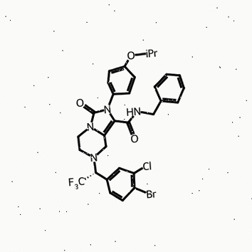 CC(C)Oc1ccc(-n2c(C(=O)NCc3ccccc3)c3n(c2=O)CCN([C@H](c2ccc(Br)c(Cl)c2)C(F)(F)F)C3)cc1